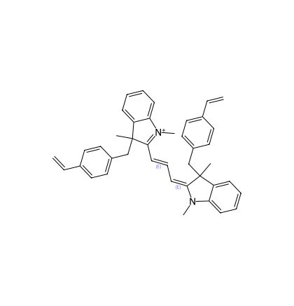 C=Cc1ccc(CC2(C)C(/C=C/C=C3/N(C)c4ccccc4C3(C)Cc3ccc(C=C)cc3)=[N+](C)c3ccccc32)cc1